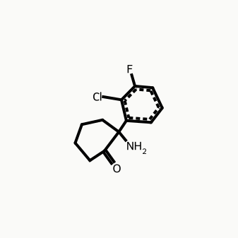 NC1(c2cccc(F)c2Cl)CCCCC1=O